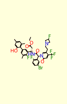 CCOC(=O)C[C@H](NC(=O)C(c1cc(Br)ccc1F)n1cc(CCN2CC(F)C2)c(C(F)(F)F)cc1=O)c1cc(-c2c(C)cc(C)cc2O)cc(C)c1F